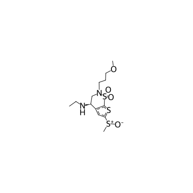 CCN[C@H]1CN(CCCOC)S(=O)(=O)c2sc([S+](C)[O-])cc21